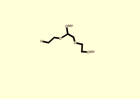 COCCOCC(OC)OCCF